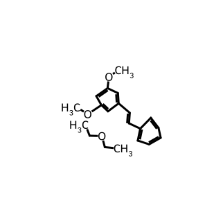 CCOCC.COc1cc(/C=C/c2ccccc2)cc(OC)c1